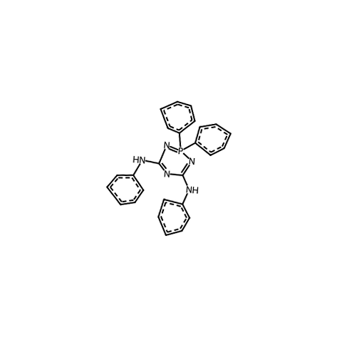 c1ccc(NC2=NC(Nc3ccccc3)=NP(c3ccccc3)(c3ccccc3)=N2)cc1